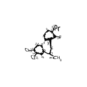 CC(C)c1cccc(CC(C)c2ccc(Cl)c(Cl)c2)c1F